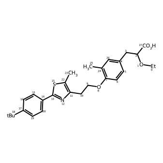 CCOC(Cc1ccc(OCCc2nc(-c3ccc(C(C)(C)C)cc3)sc2C)c(C)c1)C(=O)O